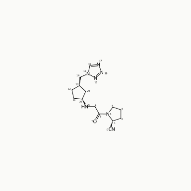 N#C[C@@H]1CCCN1C(=O)CN[C@H]1CC[C@@H](Cn2cnnn2)C1